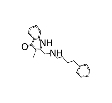 Cc1c(CNCCCCc2ccccc2)[nH]c2ccccc2c1=O